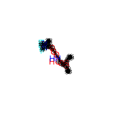 O[C@H](CNCCOCCOCCOc1ccc(-c2c(-c3ccccc3)nn3c(C(F)(F)F)cc(C(F)(F)F)nc23)cc1)COc1ccc(OCCc2ccccc2)c(OCCCc2ccccc2)c1